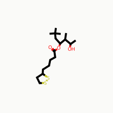 CC(O)C(C)C(CC(C)(C)C)OC(=O)CCCCC1CCSS1